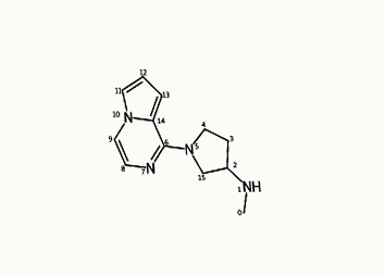 CNC1CCN(c2nccn3cccc23)C1